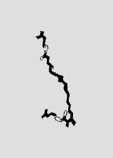 CC(C)CCOC(=O)CCCCCCCCCCCCCC(C)C(C)C(=O)OCCC(C)C